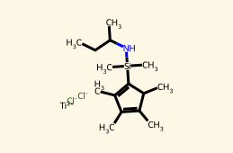 CCC(C)N[Si](C)(C)C1=C(C)C(C)=C(C)C1C.[Cl-].[Cl-].[Ti+2]